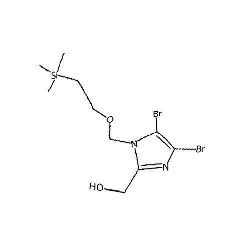 C[Si](C)(C)CCOCn1c(CO)nc(Br)c1Br